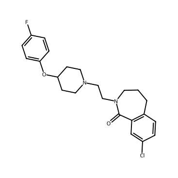 O=C1c2cc(Cl)ccc2CCCN1CCN1CCC(Oc2ccc(F)cc2)CC1